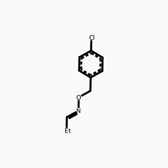 CCC=NOCc1ccc(Cl)cc1